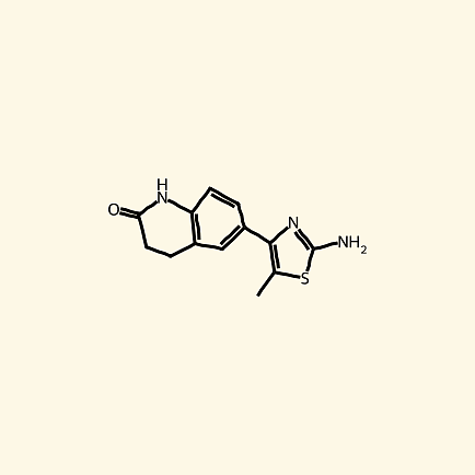 Cc1sc(N)nc1-c1ccc2c(c1)CCC(=O)N2